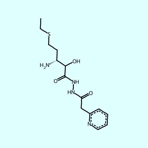 CCSCC[C@@H](N)C(O)C(=O)NNC(=O)Cc1ccccn1